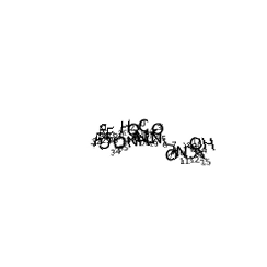 C[C@H]1C(=O)N(CCCC(=O)N2CCC3(CC3)[C@H](O)C2)CCN1C(=O)Nc1ccc(OC(F)(F)F)cc1